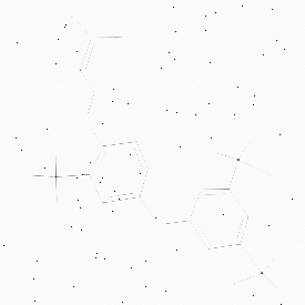 FC(F)(F)c1cc(Oc2ccc(OCC=C(Cl)Cl)c(C(F)(F)F)c2)cc(C(F)(F)F)c1